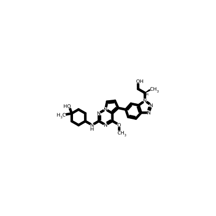 COc1nc(NC2CCC(C)(O)CC2)nn2ccc(-c3ccc4nnn([C@H](C)CO)c4c3)c12